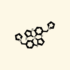 Fc1ccc(Cn2cccc2)c(F)[c]1[Ti]([c]1c(F)ccc(Cn2cccc2)c1F)([CH]1C=CC=C1)[CH]1C=CC=C1